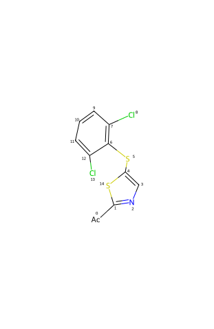 CC(=O)c1ncc(Sc2c(Cl)cccc2Cl)s1